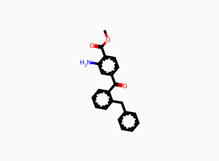 COC(=O)c1ccc(C(=O)c2ccccc2Cc2ccccc2)cc1N